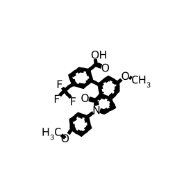 COc1ccc(-n2ccc3cc(OC)cc(-c4cc(C(F)(F)F)ccc4C(=O)O)c3c2=O)cc1